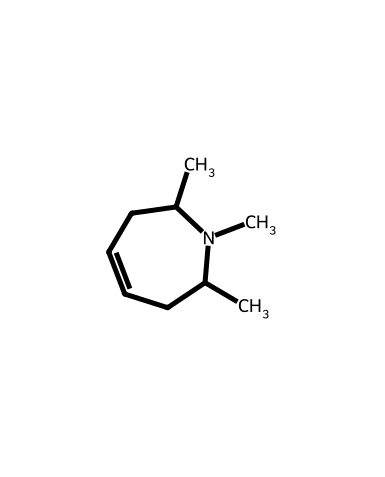 CC1CC=CCC(C)N1C